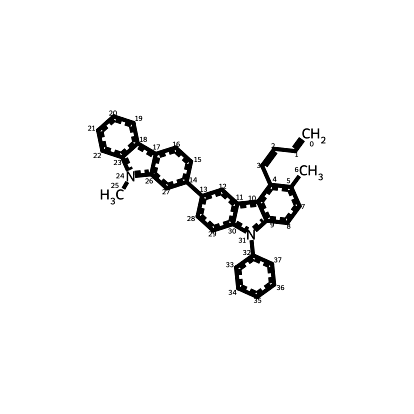 C=C/C=C\c1c(C)ccc2c1c1cc(-c3ccc4c5ccccc5n(C)c4c3)ccc1n2-c1ccccc1